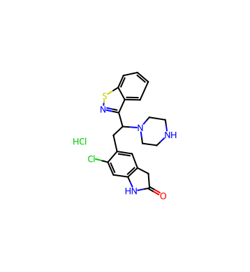 Cl.O=C1Cc2cc(CC(c3nsc4ccccc34)N3CCNCC3)c(Cl)cc2N1